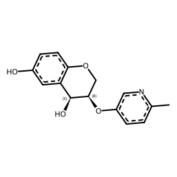 Cc1ccc(O[C@@H]2COc3ccc(O)cc3[C@@H]2O)cn1